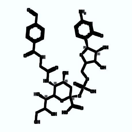 Nc1ccn([C@@H]2OC(COP(=O)(O)O[C@@]3(C(=O)O)C[C@@H](O)[C@@H](NC(=O)CNC(=O)c4ccc(C=O)cc4)C([C@H](O)C(O)CO)O3)C(O)[C@@H]2O)c(=O)n1